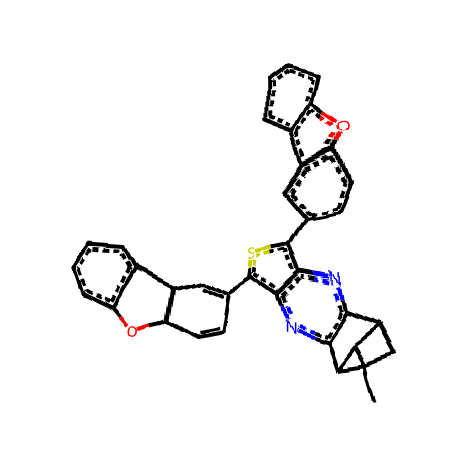 CC12CC3c4nc5c(-c6ccc7oc8ccccc8c7c6)sc(C6=CC7c8ccccc8OC7C=C6)c5nc4C1C32